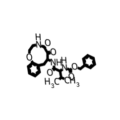 CC(C)C(NC(=O)OCc1ccccc1)C(=O)NC1Cc2ccccc2OCCNC(=O)C1=O